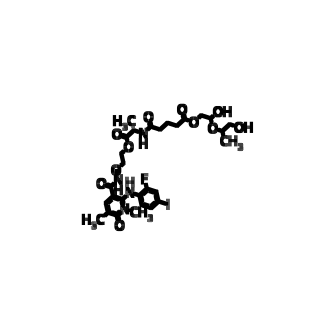 Cc1cc(C(=O)NOCCOC(=O)[C@H](C)NC(=O)CCCC(=O)OCC(O)OC(C)CO)c(Nc2ccc(I)cc2F)n(C)c1=O